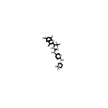 Cc1c(C(NC(=O)Nc2ccc(N[C@@H]3CCS(=O)(=O)C3)nc2)C(F)(F)F)oc2c(F)cc(F)cc12